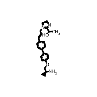 CC(O)c1nccn1C/C=C/c1ccc(-c2ccc(OCC3(N)CC3)cc2)cc1